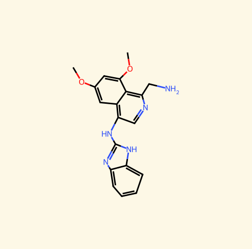 COc1cc(OC)c2c(CN)ncc(Nc3nc4ccccc4[nH]3)c2c1